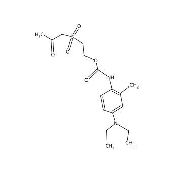 CCN(CC)c1ccc(NC(=O)OCCS(=O)(=O)CC(C)=O)c(C)c1